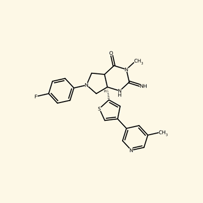 Cc1cncc(-c2csc([C@]34CN(c5ccc(F)cc5)CC3C(=O)N(C)C(=N)N4)c2)c1